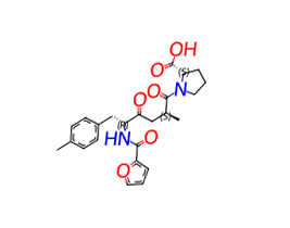 Cc1ccc(C[C@@H](NC(=O)c2ccco2)C(=O)C[C@H](C)C(=O)N2CCC[C@H]2C(=O)O)cc1